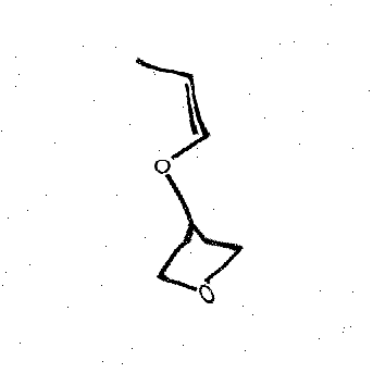 C/C=C\OC1COC1